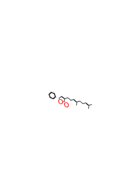 CC(C)=CCC/C(C)=C/CCC1=C[C@@H](c2ccccc2)OC1=O